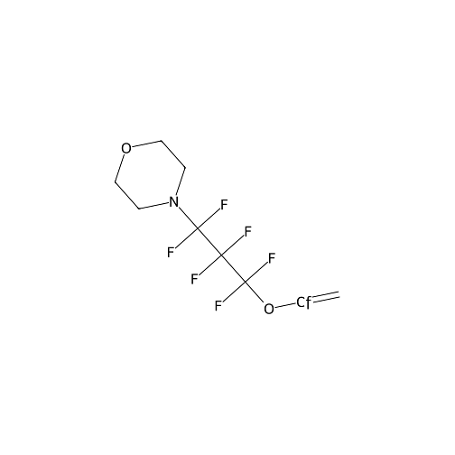 [CH2]=[Cf][O]C(F)(F)C(F)(F)C(F)(F)N1CCOCC1